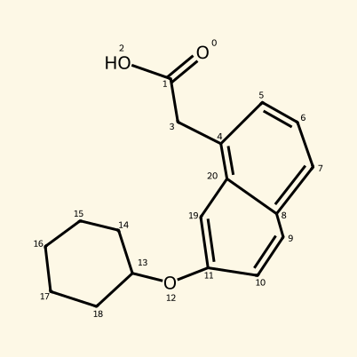 O=C(O)Cc1cccc2ccc(OC3CCCCC3)cc12